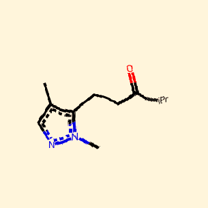 Cc1cnn(C)c1CCC(=O)C(C)C